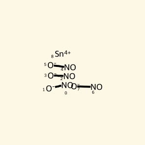 O=N[O-].O=N[O-].O=N[O-].O=N[O-].[Sn+4]